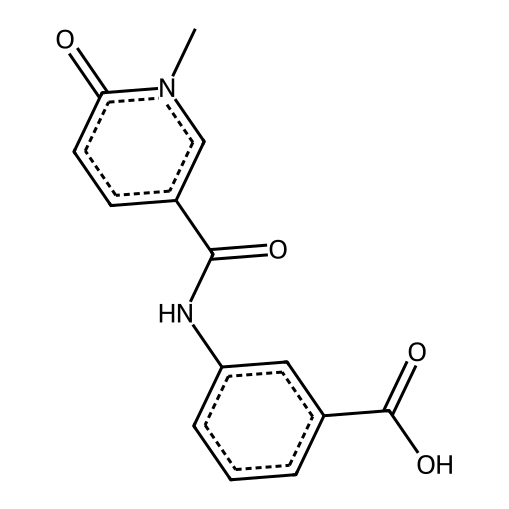 Cn1cc(C(=O)Nc2cccc(C(=O)O)c2)ccc1=O